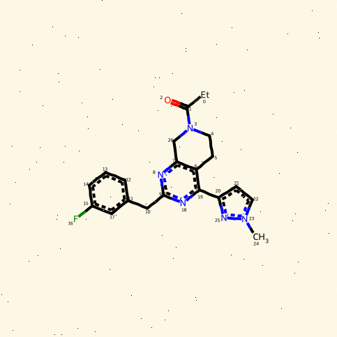 CCC(=O)N1CCc2c(nc(Cc3cccc(F)c3)nc2-c2ccn(C)n2)C1